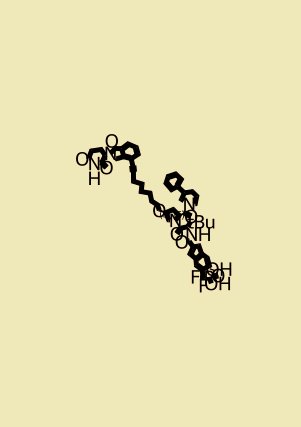 CC(C)(C)C(NC(=O)C1=Cc2cc(C(F)(F)P(=O)(O)O)ccc2C1)C(=O)N1C[C@@H](OCCCCCCC#Cc2cccc3c2CN(C2CCC(=O)NC2=O)C3=O)C[C@H]1C(=O)N1CCCC(c2ccccc2)C1